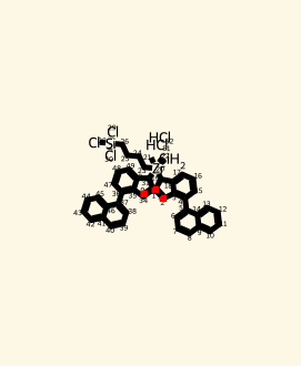 CC1=Cc2c(-c3cccc4ccccc34)cccc2[CH]1[Zr]([CH3])(=[SiH2])([CH2]CCC[Si](Cl)(Cl)Cl)[CH]1C(C)=Cc2c(-c3cccc4ccccc34)cccc21.Cl.Cl